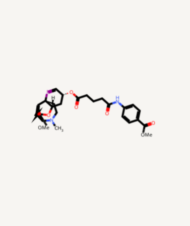 COC(=O)c1ccc(NC(=O)CCCC(=O)O[C@H]2C=I[C@@]34CCN(C)Cc5ccc(OC)c(c53)O[C@H]4C2)cc1